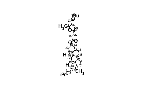 CC(C)CCCC(C)C1CCC2C3CC=C4CC(OC(=O)CCC(=O)OC(C)CCOC(C)(C)C)CCC4(C)C3CCC12C